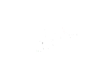 O=C(O)C(=O)C=Cc1ccc(Br)cc1F